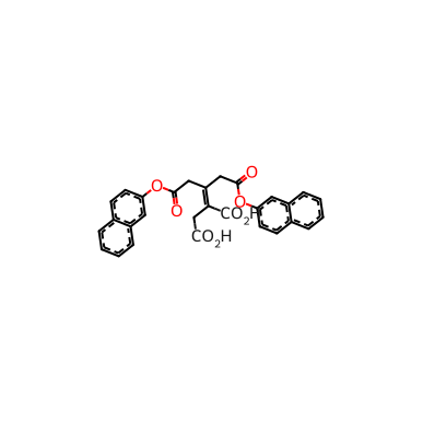 O=C(O)CC(C(=O)O)=C(CC(=O)Oc1ccc2ccccc2c1)CC(=O)Oc1ccc2ccccc2c1